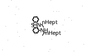 CCCCCCCC(C)Nc1cccc(Sc2ccccc2)c1NC(C)CCCCCCC